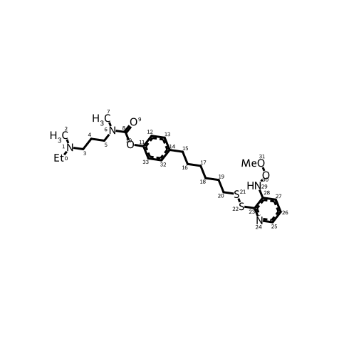 CCN(C)CCCN(C)C(=O)Oc1ccc(CCCCCCSSc2ncccc2NOOC)cc1